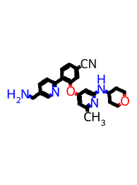 Cc1cc(Oc2cc(C#N)ccc2-c2ccc(CN)cn2)cc(NC2CCOCC2)n1